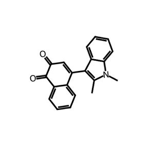 Cc1c(C2=CC(=O)C(=O)c3ccccc32)c2ccccc2n1C